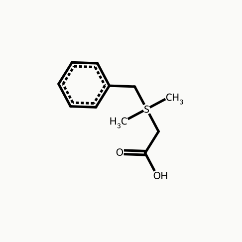 CS(C)(CC(=O)O)Cc1ccccc1